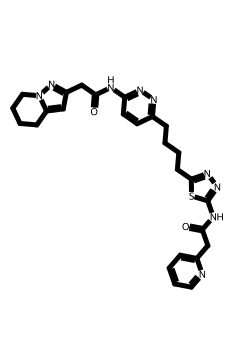 O=C(Cc1cc2n(n1)CCCC2)Nc1ccc(CCCCc2nnc(NC(=O)Cc3ccccn3)s2)nn1